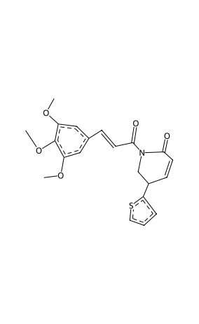 COc1cc(C=CC(=O)N2CC(c3cccs3)C=CC2=O)cc(OC)c1OC